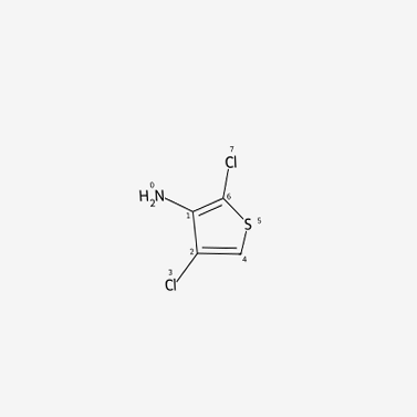 Nc1c(Cl)csc1Cl